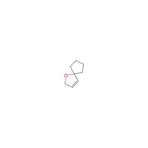 C1=CC2(CCCC2)OC1